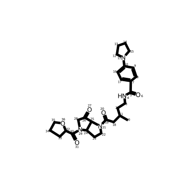 CC(CCNC(=O)c1ccc(N2CCCC2)cc1)CC(=O)N1CCC2C1C(=O)CN2C(=O)C1CCCO1